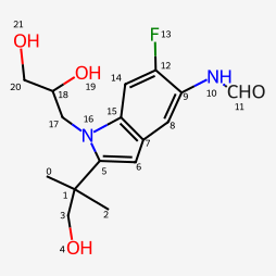 CC(C)(CO)c1cc2cc(NC=O)c(F)cc2n1CC(O)CO